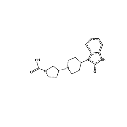 O=C(O)N1CC[C@@H](N2CCC(n3c(=O)[nH]c4ccccc43)CC2)C1